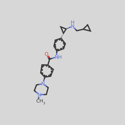 CN1CCN(c2ccc(C(=O)Nc3ccc([C@@H]4C[C@H]4NCC4CC4)cc3)cc2)CC1